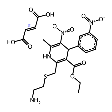 CCOC(=O)C1=C(CSCCN)NC(C)=C([N+](=O)[O-])C1c1cccc([N+](=O)[O-])c1.O=C(O)/C=C/C(=O)O